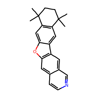 CC1(C)CCC(C)(C)c2cc3c(cc21)oc1cc2ccncc2cc13